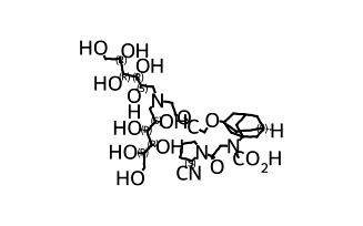 N#C[C@@H]1CCCN1C(=O)CN(C(=O)O)C12CC3C[C@H](CC(OCCOCCN(C[C@H](O)[C@@H](O)[C@H](O)[C@H](O)CO)C[C@H](O)[C@@H](O)[C@H](O)[C@H](O)CO)(C3)C1)C2